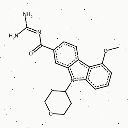 COc1cccc2c1c1ccc(C(=O)N=C(N)N)cc1n2C1CCOCC1